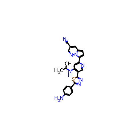 CC(C)Nc1cc(-c2ccc3cc(C#N)cnn23)ncc1-c1nnc(-c2ccc(N)cc2)s1